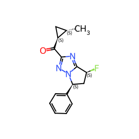 C[C@H]1C[C@@H]1C(=O)c1nc2n(n1)[C@H](c1ccccc1)C[C@@H]2F